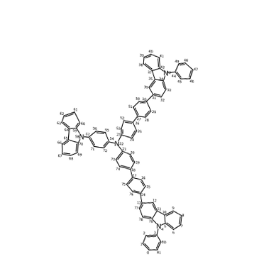 c1ccc(-n2c3ccccc3c3cc(-c4ccc(-c5ccc(N(c6ccc(-c7ccc(-c8ccc9c(c8)c8ccccc8n9-c8ccccc8)cc7)cc6)c6ccc(-n7c8ccccc8c8ccccc87)cc6)cc5)cc4)ccc32)cc1